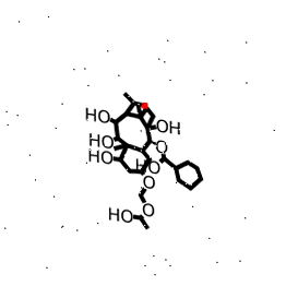 CC(O)OCOC1CC(O)C2(C)C(O)C(O)C3C(C)CCC(O)([C@@H](OC(O)C4CCCCC4)C2C1)C3(C)C